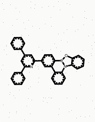 c1ccc(-c2cc(-c3ccccc3)nc(-c3ccc4c(c3)-c3ccccc3N3B4Oc4ccccc43)c2)cc1